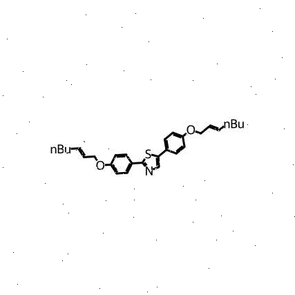 CCCC/C=C/COc1ccc(-c2cnc(-c3ccc(OC/C=C/CCCC)cc3)s2)cc1